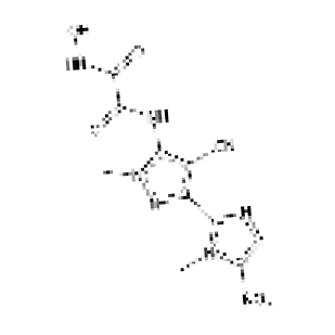 Cn1nc(-c2ncc([N+](=O)[O-])n2C)c(C#N)c1NC(=O)C(=O)NO